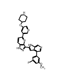 COc1cc(F)cc(-c2cncc3[nH]c(-c4n[nH]c5ccc(-c6cncc(OC7CCNCC7)c6)nc45)cc23)c1